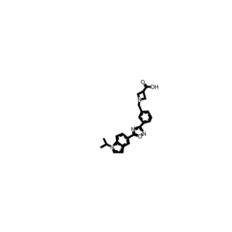 CC(C)n1ccc2cc(-c3nc(-c4cccc(CN5CC(C(=O)O)C5)c4)no3)ccc21